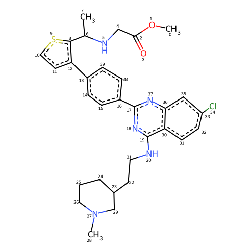 COC(=O)CNC(C)c1sccc1-c1ccc(-c2nc(NCCC3CCCN(C)C3)c3ccc(Cl)cc3n2)cc1